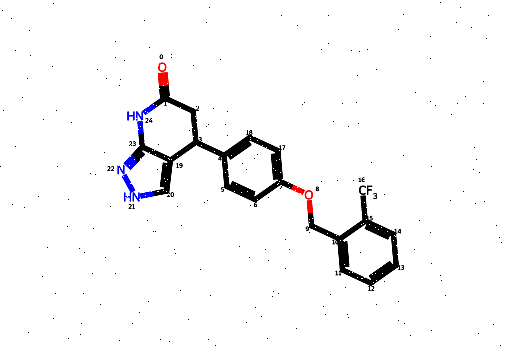 O=C1CC(c2ccc(OCc3ccccc3C(F)(F)F)cc2)c2c[nH]nc2N1